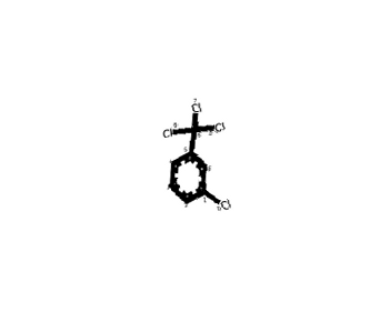 Clc1cc[c]c(C(Cl)(Cl)Cl)c1